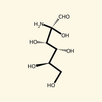 N[C@](O)(C=O)[C@@H](O)[C@H](O)[C@H](O)CO